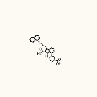 O=C(O)c1[nH]c2c(N3CCCC(C(=O)O)C3)cccc2c1CCCOc1cccc2ccccc12